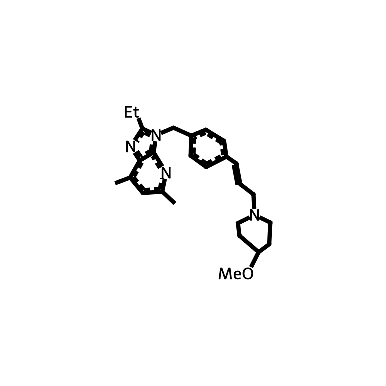 CCc1nc2c(C)cc(C)nc2n1Cc1ccc(C=CCN2CCC(OC)CC2)cc1